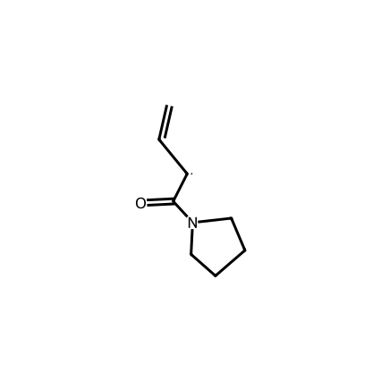 C=C[CH]C(=O)N1CCCC1